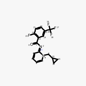 O=C(/N=c1\ccccn1CC1CC1)c1cc(C(F)(F)F)ccc1F